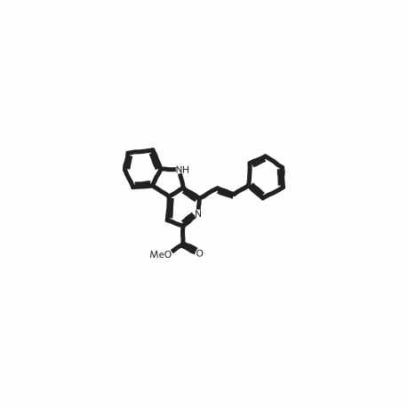 COC(=O)c1cc2c([nH]c3ccccc32)c(C=Cc2ccccc2)n1